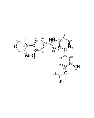 CCC(CC)Oc1ccc(-c2ncnc3[nH]c(-c4ccc(N5CCOCC5)c(OC)c4)cc23)cc1C#N